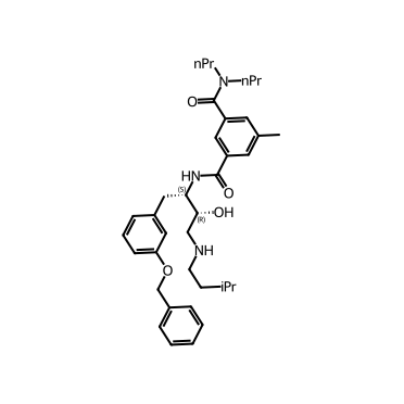 CCCN(CCC)C(=O)c1cc(C)cc(C(=O)N[C@@H](Cc2cccc(OCc3ccccc3)c2)[C@H](O)CNCCC(C)C)c1